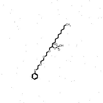 CCCCCCCCCCC(COCCOCCOCCOc1ccccc1)OP(=O)(O)O